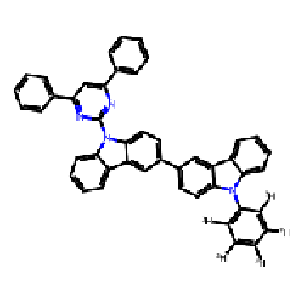 [2H]c1c([2H])c([2H])c(-n2c3ccccc3c3cc(-c4ccc5c(c4)c4ccccc4n5-c4nc(-c5ccccc5)cc(-c5ccccc5)n4)ccc32)c([2H])c1[2H]